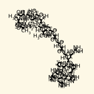 CC(C)C[C@H](NC(=O)[C@H](CS)NC(=O)[C@H](CO)NC(=O)[C@H](CC(=O)O)NC(=O)[C@@H](NC(=O)[C@@H](NC(=O)[C@H](CS)NC(=O)[C@H](C)N)[C@@H](C)O)C(C)C)C(=O)N[C@H](C(=O)N[C@@H](CS)C(=O)NCC(=O)NCC(=O)NCC(=O)NCC(=O)N[C@@H](CCCNC(=N)N)C(=O)N[C@@H](CO)C(=O)N1CCC[C@H]1C(=O)N[C@@H](Cc1c[nH]cn1)C(=O)N[C@@H](Cc1c[nH]cn1)C(=O)N[C@@H](Cc1c[nH]cn1)C(=O)N[C@@H](Cc1c[nH]cn1)C(=O)O)[C@@H](C)O